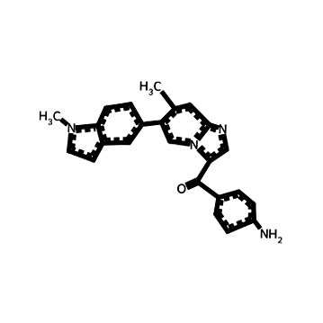 Cc1cc2ncc(C(=O)c3ccc(N)cc3)n2cc1-c1ccc2c(ccn2C)c1